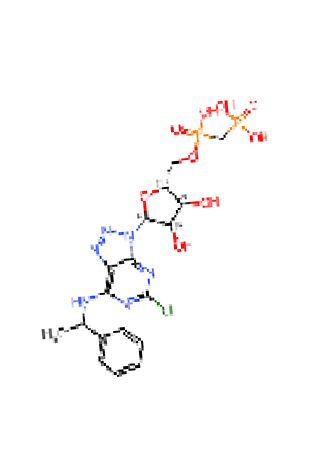 CC(Nc1nc(Cl)nc2c1nnn2[C@@H]1O[C@H](COP(=O)(O)CP(=O)(O)O)[C@@H](O)[C@H]1O)c1ccccc1